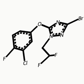 Fc1ccc(Oc2nc(Br)nn2CC(F)F)cc1Cl